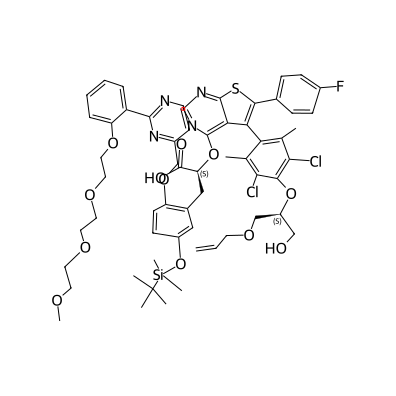 C=CCOC[C@H](CO)Oc1c(Cl)c(C)c(-c2c(-c3ccc(F)cc3)sc3ncnc(O[C@@H](Cc4cc(O[Si](C)(C)C(C)(C)C)ccc4OCc4ccnc(-c5ccccc5OCCOCCOCCOC)n4)C(=O)O)c23)c(C)c1Cl